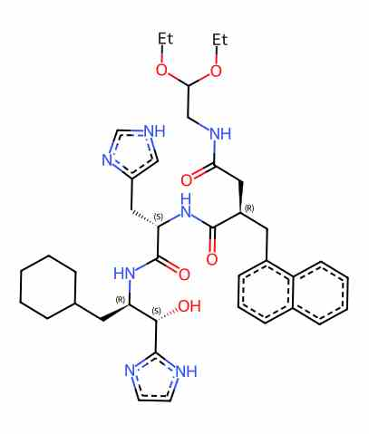 CCOC(CNC(=O)C[C@@H](Cc1cccc2ccccc12)C(=O)N[C@@H](Cc1c[nH]cn1)C(=O)N[C@H](CC1CCCCC1)[C@H](O)c1ncc[nH]1)OCC